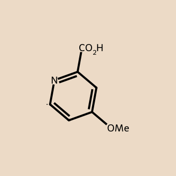 COc1c[c]nc(C(=O)O)c1